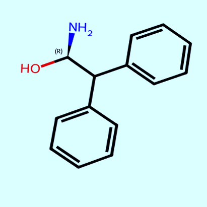 N[C@H](O)C(c1ccccc1)c1ccccc1